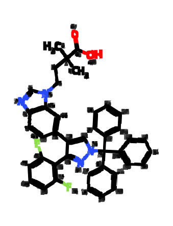 CC(C)(CCn1cnc2ccc(-c3cn(C(c4ccccc4)(c4ccccc4)c4ccccc4)nc3-c3c(F)cccc3F)cc21)C(=O)O